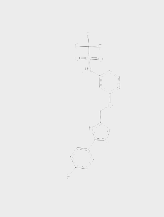 O=S(=O)(Nc1cccc(OCc2csc(-c3ccc(F)cc3)n2)c1)C(F)(F)F